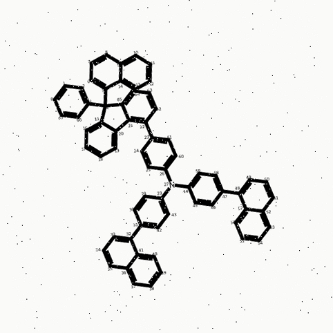 c1ccc(C2(c3cccc4ccccc34)c3ccccc3-c3c(-c4ccc(N(c5ccc(-c6cccc7ccccc67)cc5)c5ccc(-c6cccc7ccccc67)cc5)cc4)cccc32)cc1